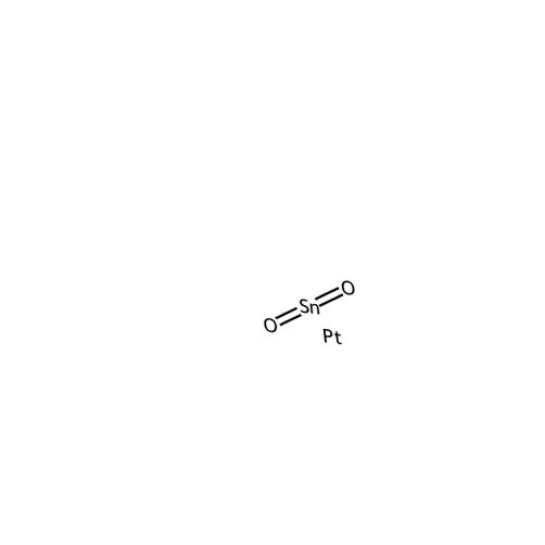 [O]=[Sn]=[O].[Pt]